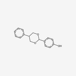 Oc1ccc(C2OCC(c3ccccc3)CO2)cc1